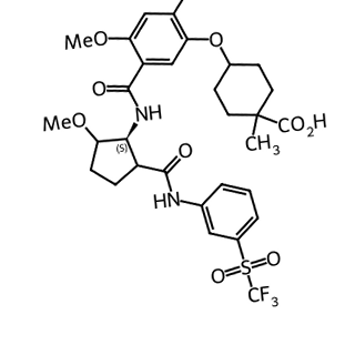 COc1cc(F)c(OC2CCC(C)(C(=O)O)CC2)cc1C(=O)N[C@@H]1C(OC)CCC1C(=O)Nc1cccc(S(=O)(=O)C(F)(F)F)c1